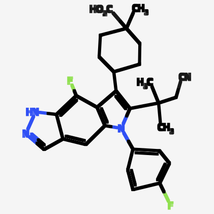 CC1(C(=O)O)CCC(c2c(C(C)(C)CC#N)n(-c3ccc(F)cc3)c3cc4cn[nH]c4c(F)c23)CC1